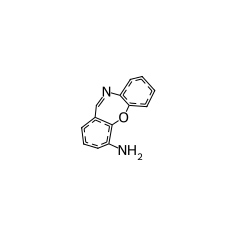 Nc1cccc2c1Oc1ccccc1N=C2